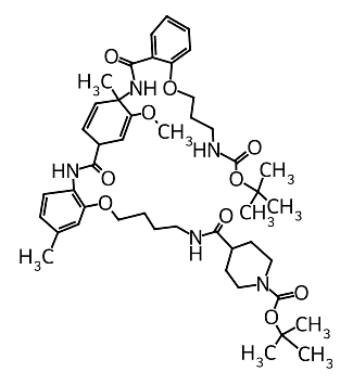 COC1=CC(C(=O)Nc2ccc(C)cc2OCCCCNC(=O)C2CCN(C(=O)OC(C)(C)C)CC2)C=CC1(C)NC(=O)c1ccccc1OCCCNC(=O)OC(C)(C)C